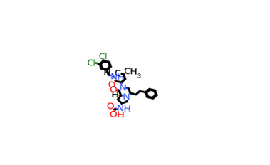 CC(C)CC(C(=O)NCc1ccc(Cl)c(Cl)c1)N1CC(CCc2ccccc2)N2C[C@H](NC(=O)O)C[C@H]2C1=O